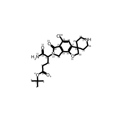 CC(C)(C)OC(=O)CCC(C(N)=O)N1Cc2c3c(cc(Cl)c2C1=O)C1(CCNCC1)CO3